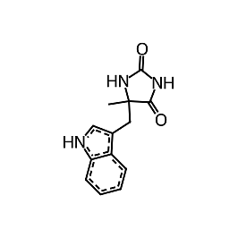 CC1(Cc2c[nH]c3ccccc23)NC(=O)NC1=O